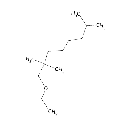 CCOCC(C)(C)CCCCC(C)C